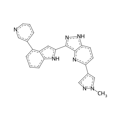 Cn1cc(-c2ccc3[nH]nc(-c4cc5c(-c6cccnc6)cccc5[nH]4)c3n2)cn1